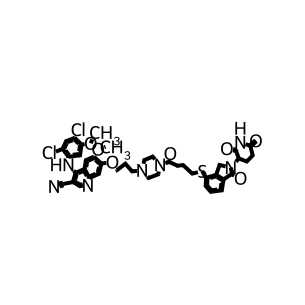 COc1cc(Nc2c(C#N)cnc3cc(OCCCN4CCN(C(=O)CCCSc5cccc6c5CN(C5CCC(=O)NC5=O)C6=O)CC4)c(OC)cc23)c(Cl)cc1Cl